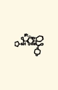 CC(C)[C@H](NC(=O)C1(NC(=O)N2CCOCC2)CCCCC1)C(=O)C(=O)NC1CCCC1